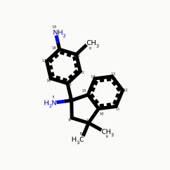 Cc1cc(C2(N)CC(C)(C)c3ccccc32)ccc1N